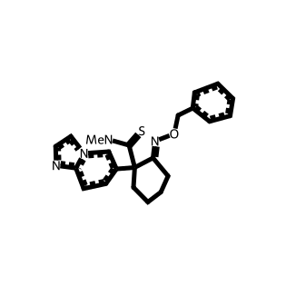 CNC(=S)C1(c2ccc3nccn3c2)CCCCC1=NOCc1ccccc1